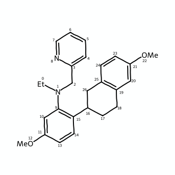 CCN(Cc1ccccn1)c1cc(OC)ccc1C1CCc2cc(OC)ccc2C1